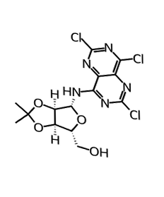 CC1(C)O[C@@H]2[C@H](O1)[C@@H](CO)O[C@H]2Nc1nc(Cl)nc2c(Cl)nc(Cl)nc12